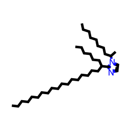 CCCCCCCCCCCCCCCCCCC(CCCCCC)c1nccn1C(C)CCCCCCCC